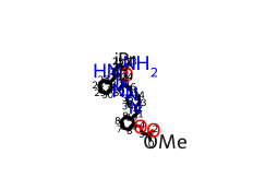 COC(=O)COc1ccccc1CN1CCN(Cc2nc(N[C@H](C(N)=O)C(C)C)c3ccccc3n2)CC1